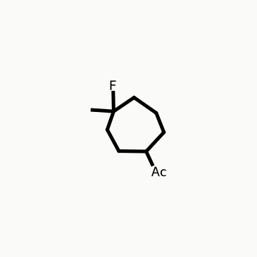 CC(=O)C1CCCC(C)(F)CC1